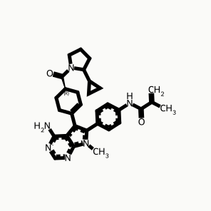 C=C(C)C(=O)Nc1ccc(-c2c(C3=CC[C@H](C(=O)N4CCCC4C4CC4)CC3)c3c(N)ncnc3n2C)cc1